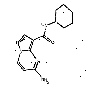 Nc1ccn2ncc(C(=O)NC3CCCCC3)c2n1